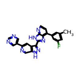 Cc1cc(F)cc(-c2ccnc3[nH]c(-c4n[nH]c5cnc(-c6cncnc6)cc45)nc23)c1